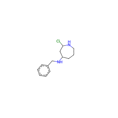 ClC1CC(NCc2ccccc2)CCCN1